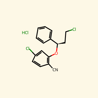 Cl.N#Cc1ccc(Cl)cc1O[C@H](CCCl)c1ccccc1